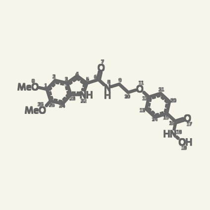 COc1cc2cc(C(=O)NCCOc3ccc(C(=O)NO)cc3)[nH]c2cc1OC